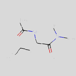 CCCCN(CCCC)C(=O)[C@H](CCC(=O)O)NC(=O)C(C)CCC